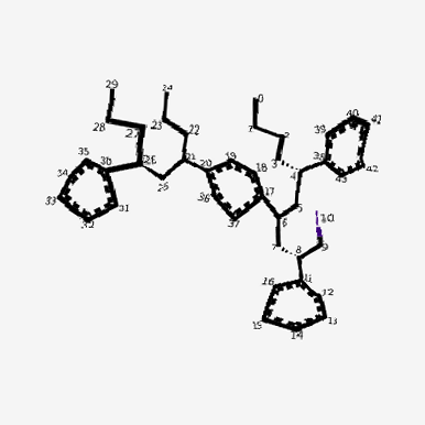 CCCC[C@@H](CC(C[C@H](CI)c1ccccc1)c1ccc(C(CCC)C[C@H](CCC)c2ccccc2)cc1)c1ccccc1